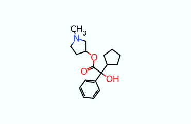 CN1CCC(OC(=O)C(O)(c2ccccc2)C2CCCC2)C1